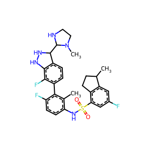 Cc1c(NS(=O)(=O)c2cc(F)cc3c2CCC3C)ccc(F)c1-c1ccc2c(c1F)NNC2C1NCCN1C